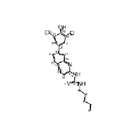 CCCCCNC(=S)Nc1cnc2ccc(-c3cc(Cl)c(O)c(Cl)c3)cc2n1